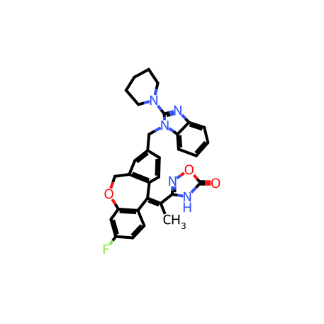 CC(=C1c2ccc(Cn3c(N4CCCCC4)nc4ccccc43)cc2COc2cc(F)ccc21)c1noc(=O)[nH]1